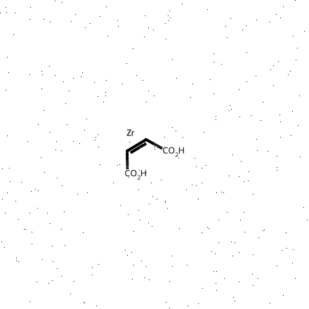 O=C(O)/C=C\C(=O)O.[Zr]